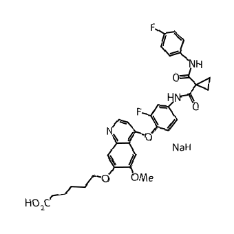 COc1cc2c(Oc3ccc(NC(=O)C4(C(=O)Nc5ccc(F)cc5)CC4)cc3F)ccnc2cc1OCCCCCC(=O)O.[NaH]